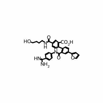 N=C(N)c1ccc(NC(=O)c2cc(-c3ccco3)ccc2-c2ccc(C(=O)NCCCCO)cc2C(=O)O)cc1